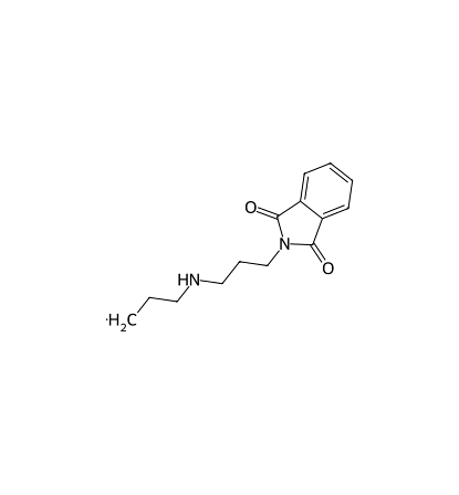 [CH2]CCNCCCN1C(=O)c2ccccc2C1=O